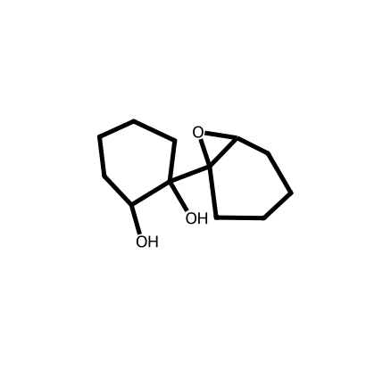 OC1CCCCC1(O)C12CCCCC1O2